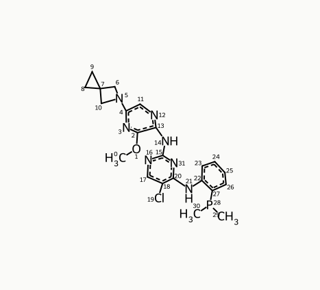 COc1nc(N2CC3(CC3)C2)cnc1Nc1ncc(Cl)c(Nc2ccccc2P(C)C)n1